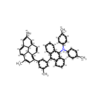 CC1=CC(c2cc(C)cc(-c3c4ccccc4c(N(c4ccc(C)cc4)c4ccc(C)cc4)c4ccccc34)c2)=C2C=CC3=CC(C(C)(C)C)=CC4=CC=C1C2C43